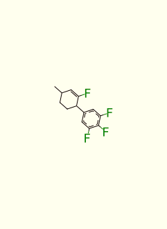 CC1C=C(F)C(c2cc(F)c(F)c(F)c2)CC1